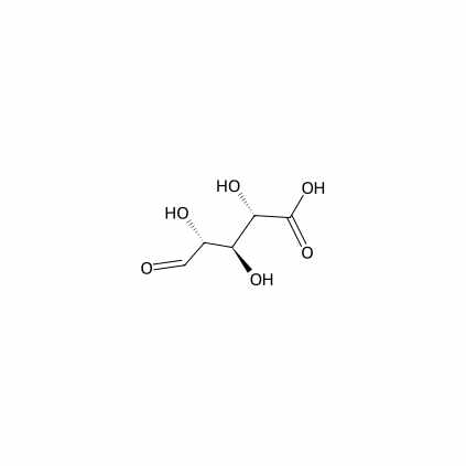 O=C[C@H](O)[C@H](O)[C@H](O)C(=O)O